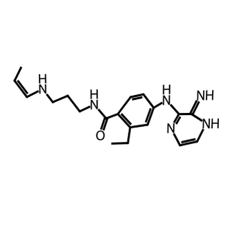 C/C=C\NCCCNC(=O)c1ccc(Nc2ncc[nH]c2=N)cc1CC